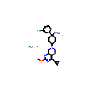 COc1nc2c(c(C3CC3)n1)CCN(C1CCC(CN)(c3cccc(Cl)c3)CC1)C2.Cl.Cl